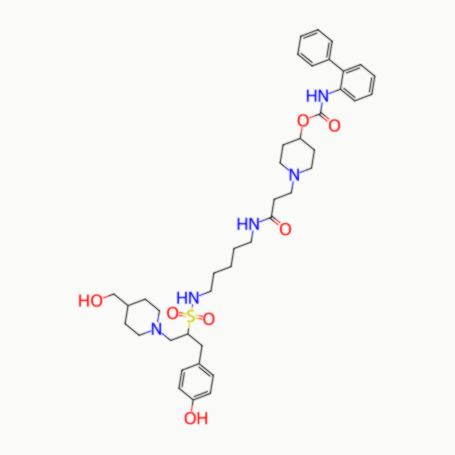 O=C(CCN1CCC(OC(=O)Nc2ccccc2-c2ccccc2)CC1)NCCCCCNS(=O)(=O)C(Cc1ccc(O)cc1)CN1CCC(CO)CC1